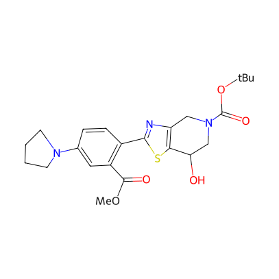 COC(=O)c1cc(N2CCCC2)ccc1-c1nc2c(s1)C(O)CN(C(=O)OC(C)(C)C)C2